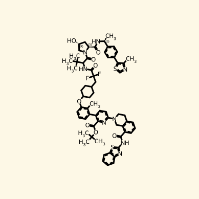 Cc1ncsc1-c1ccc([C@H](C)NC(=O)[C@@H]2C[C@@H](O)CN2C(=O)C(NC(=O)C(F)(F)CC2CCC(Oc3cccc(-c4ccc(N5CCc6cccc(C(=O)Nc7nc8ccccc8s7)c6C5)nc4C(=O)OC(C)(C)C)c3C)CC2)C(C)(C)C)cc1